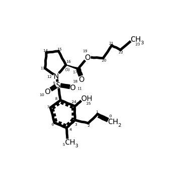 C=CCc1c(C)ccc(S(=O)(=O)N2CCC[C@H]2C(=O)OCCCC)c1O